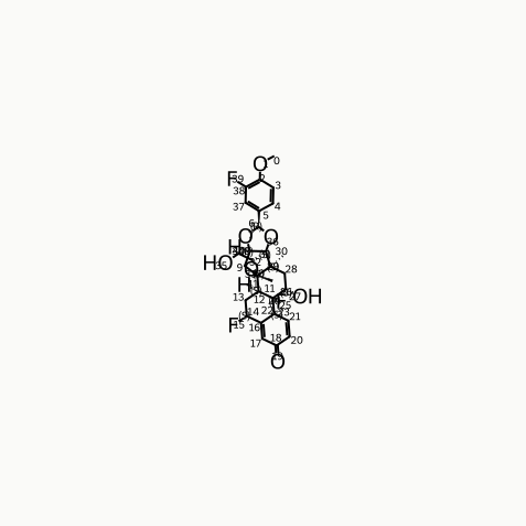 COc1ccc([C@@H]2O[C@@H]3C[C@@]4(C)[C@@H]5C[C@H](F)C6=CC(=O)C=C[C@]6(C)[C@@]5(F)[C@@H](O)C[C@]4(C)[C@]3(C(=O)CO)O2)cc1F